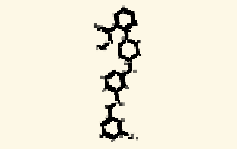 CC(C)OC(=O)c1cccnc1N1CCN(Cc2cccc(OCc3cccc(C(F)(F)F)c3)c2)CC1